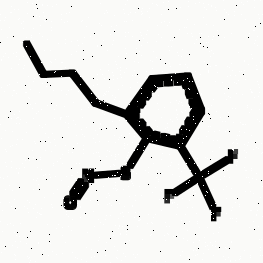 CCCCc1cccc(C(F)(F)F)c1SN=O